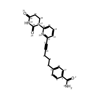 NC(=O)c1ccc(CCCC#Cc2cccc(N3CCC(=O)NC3=O)n2)cc1